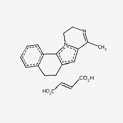 CC1=NCCn2c1cc1c2-c2ccccc2CC1.O=C(O)C=CC(=O)O